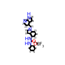 O=C(Nc1ccccc1OC(F)(F)F)Nc1cccc2c1CCN2Cc1ccnc2[nH]ccc12